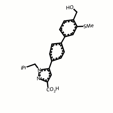 CSc1cc(-c2ccc(-c3cc(C(=O)O)nn3CC(C)C)cc2)ccc1CO